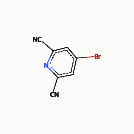 N#Cc1cc(Br)cc(C#N)n1